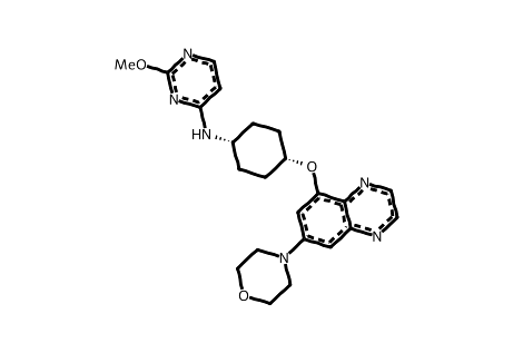 COc1nccc(N[C@H]2CC[C@@H](Oc3cc(N4CCOCC4)cc4nccnc34)CC2)n1